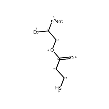 CCCCCC(CC)COC(=O)CCS